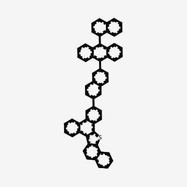 c1ccc2c(-c3c4ccccc4c(-c4ccc5cc(-c6ccc7c(c6)c6ccccc6c6c8ccc9ccccc9c8sc76)ccc5c4)c4ccccc34)cccc2c1